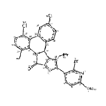 CCc1nc(OC)ccc1-c1nc2c(n1C(C)C)C1c3ccc(Cl)cc3-c3c(Cl)ccc(C)c3N1C2=O